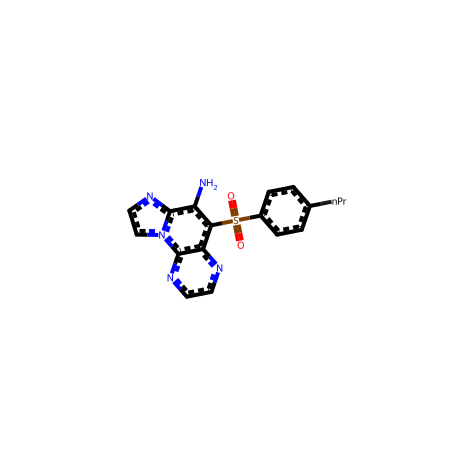 CCCc1ccc(S(=O)(=O)c2c(N)c3nccn3c3nccnc23)cc1